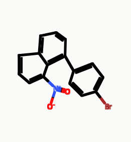 O=[N+]([O-])c1cccc2cccc(-c3ccc(Br)cc3)c12